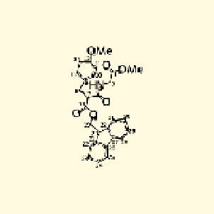 COC(=O)CNC(=O)[C@H](Cc1ccc(OC)cc1)C(=O)OCC1c2ccccc2-c2ccccc21